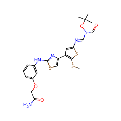 CSc1sc(N=CN(C=O)OC(C)(C)C)cc1-c1csc(Nc2cccc(OCC(N)=O)c2)n1